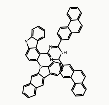 c1ccc2cc3c(cc2c1)c1ccccc1n3-c1ccc2sc3ccccc3c2c1C1=NC(c2ccc3c(ccc4ccccc43)c2)NC(c2ccc3c(ccc4ccccc43)c2)=N1